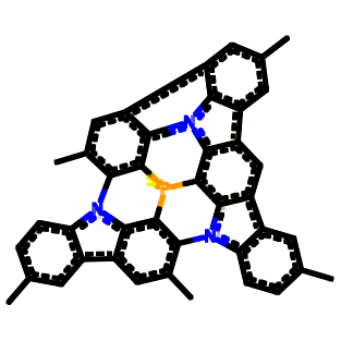 Cc1ccc2c(c1)c1cc(C)c3c4c1n2-c1c(C)cc2c5cc(C)cc6c7cc8c9cc(C)ccc9n-3c8c3c7n(c2c1P43=S)c56